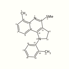 CSc1nc2c(C)cccc2c2c1CCN2c1ccccc1C